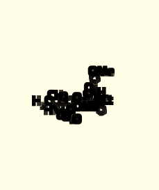 CCOc1ccccc1NC(=O)c1c(NC(=O)Cc2ccc(OC)cc2)sc2c1CCC2Oc1ccc(C2C(C(=O)OCC3CCCO3)=C(C)NC3=C2C(=O)CC(C)(C)C3)cc1OC